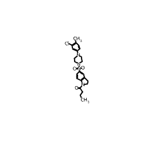 CCCC(=O)N1CCc2cc(S(=O)(=O)N3CCN(c4ccc(C)c(Cl)c4)CC3)ccc21